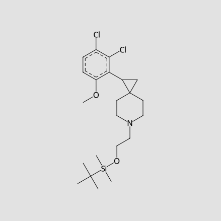 COc1ccc(Cl)c(Cl)c1C1CC12CCN(CCO[Si](C)(C)C(C)(C)C)CC2